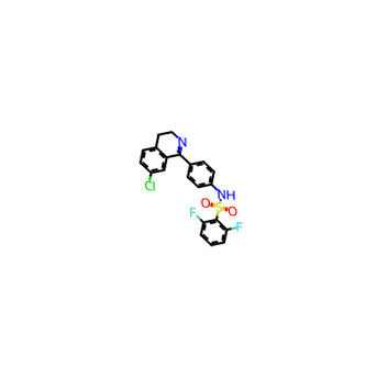 O=S(=O)(Nc1ccc(C2=NCCc3ccc(Cl)cc32)cc1)c1c(F)cccc1F